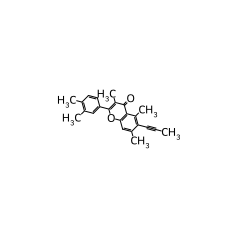 CC#Cc1c(C)cc2oc(-c3ccc(C)c(C)c3)c(C)c(=O)c2c1C